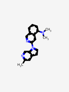 Cc1cc2ccn(-c3cc4c(N(C)C)cccc4cn3)c2cn1